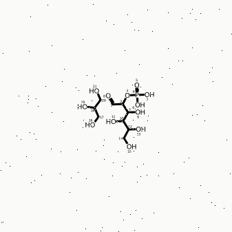 O=CC(OP(=O)(O)O)C(O)C(O)C(O)CO.OCC(O)CO